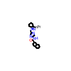 CCCc1nn(Cc2cnc(NC(=O)c3ccc4ccccc4c3)cn2)c2ccccc12